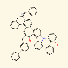 O=c1c(Cc2cccc(-c3ccccc3)c2)cc2c3c(ccc2c2ccc4c(c5ccccc5n4-c4cccc5oc6ccccc6c45)c12)/C(=C\c1ccccc1)CC1C=CC=CC31